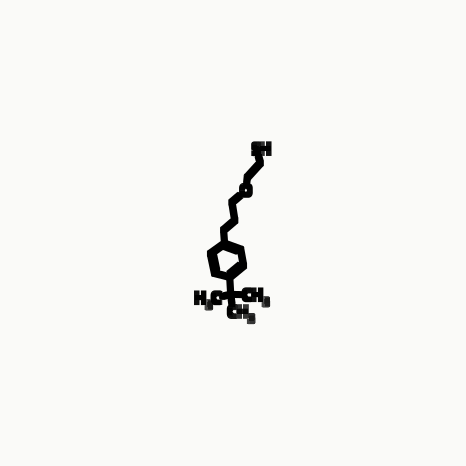 CC(C)(C)c1ccc(CCCOCCS)cc1